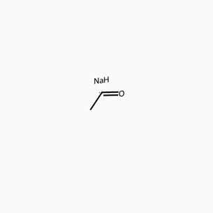 C[C]=O.[NaH]